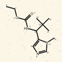 CCOC(=O)NC(c1cncn1C)C(C)(C)C